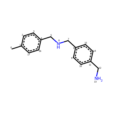 Cc1ccc(CNCc2ccc(CN)cc2)cc1